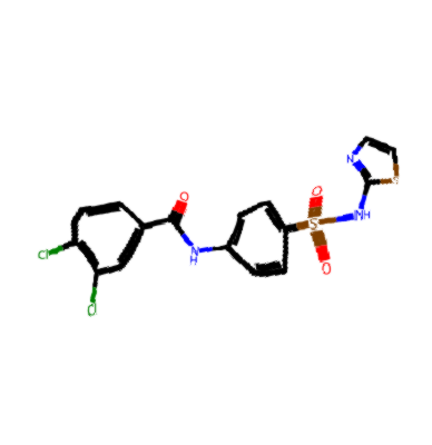 O=C(Nc1ccc(S(=O)(=O)Nc2nccs2)cc1)c1ccc(Cl)c(Cl)c1